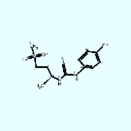 C[C@@H](CCS(C)(=O)=O)NC(=S)Nc1ccc(F)cc1